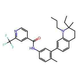 CCCN1c2cc(-c3cc(NC(=O)c4ccnc(C(F)(F)F)c4)ccc3C)ccc2CCC1(C)CC